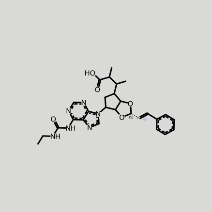 CCNC(=O)Nc1ncnc2c1ncn2C1CC(C(C)C(C)C(=O)O)C2O[C@H](/C=C/c3ccccc3)OC21